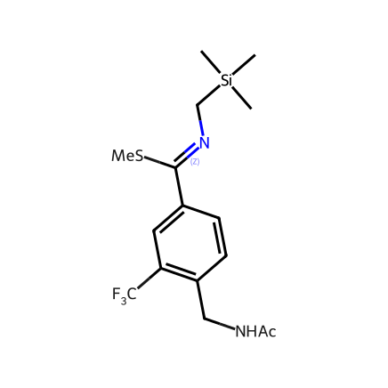 CS/C(=N\C[Si](C)(C)C)c1ccc(CNC(C)=O)c(C(F)(F)F)c1